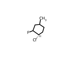 CC1CC[C@H](Cl)C(F)C1